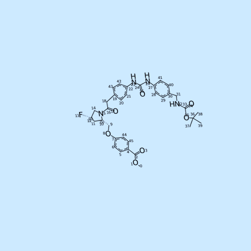 COC(=O)c1ccc(OC[C@@H]2C[C@H](F)CN2C(=O)Cc2ccc(NC(=O)Nc3ccc(CNC(=O)OC(C)(C)C)cc3)cc2)cc1